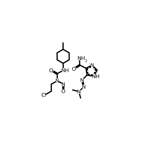 CC1CCC(NC(=O)N(CCCl)N=O)CC1.CN(C)/N=N/c1[nH]cnc1C(N)=O